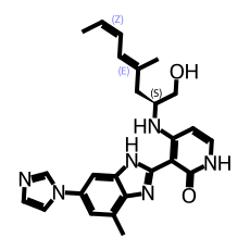 C/C=C\C=C(/C)C[C@@H](CO)Nc1cc[nH]c(=O)c1-c1nc2c(C)cc(-n3ccnc3)cc2[nH]1